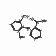 CON(c1ccccc1)[N+](=O)[O-].COc1cccc(C(=O)O)c1[N+](=O)[O-]